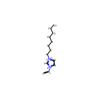 C=Cn1cc[n+](CCCCCCCC)c1